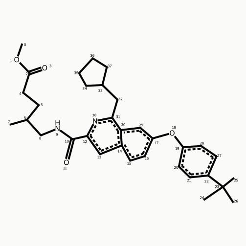 COC(=O)CCC(C)CNC(=O)c1cc2ccc(Oc3ccc(C(C)(C)C)cc3)cc2c(CC2CCCC2)n1